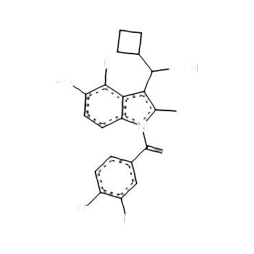 Cc1c(C(C(=O)O)C2CCC2)c2c(F)c(O)ccc2n1C(=O)c1ccc(Cl)c(F)c1